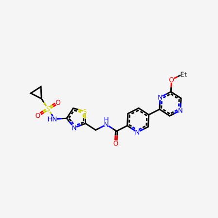 CCOc1cncc(-c2ccc(C(=O)NCc3nc(NS(=O)(=O)C4CC4)cs3)nc2)n1